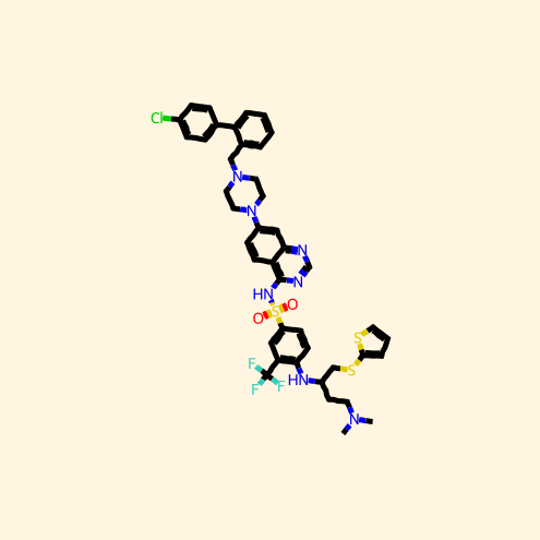 CN(C)CCC(CSc1cccs1)Nc1ccc(S(=O)(=O)Nc2ncnc3cc(N4CCN(Cc5ccccc5-c5ccc(Cl)cc5)CC4)ccc23)cc1C(F)(F)F